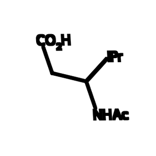 CC(=O)NC(CC(=O)O)C(C)C